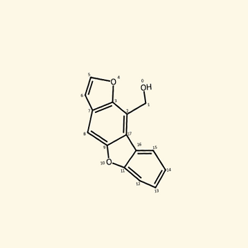 OCc1c2occc2cc2oc3ccccc3c12